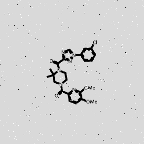 COc1ccc(C(=O)N2CCN(C(=O)c3ncn(-c4cccc(Cl)c4)n3)C(C)(C)C2)nc1OC